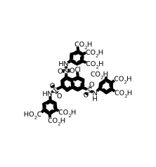 O=C(O)c1cc(NS(=O)(=O)c2cc(Cl)c3c(S(=O)(=O)Nc4cc(C(=O)O)c(C(=O)O)c(C(=O)O)c4)cc(S(=O)(=O)Nc4cc(C(=O)O)c(C(=O)O)c(C(=O)O)c4)cc3c2)cc(C(=O)O)c1C(=O)O